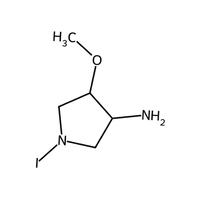 COC1CN(I)CC1N